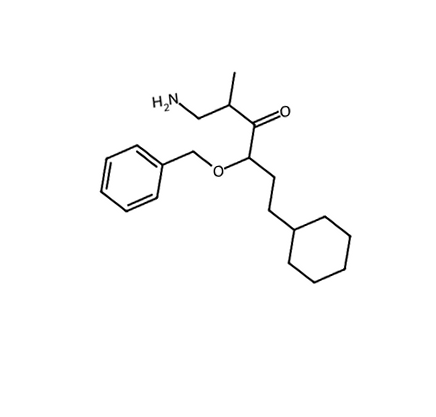 CC(CN)C(=O)C(CCC1CCCCC1)OCc1ccccc1